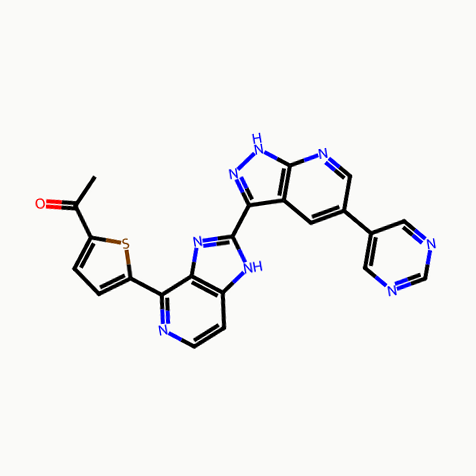 CC(=O)c1ccc(-c2nccc3[nH]c(-c4n[nH]c5ncc(-c6cncnc6)cc45)nc23)s1